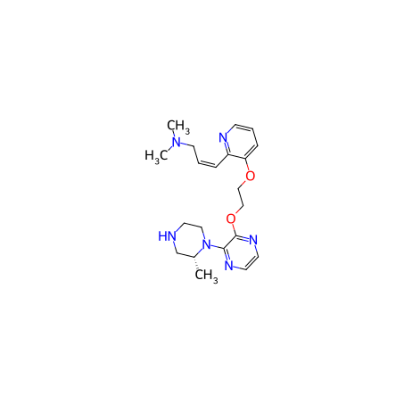 C[C@@H]1CNCCN1c1nccnc1OCCOc1cccnc1/C=C\CN(C)C